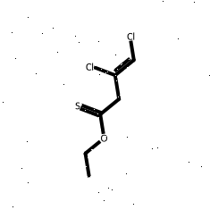 CCOC(=S)CC(Cl)=CCl